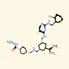 C=C(C)C1C[C@@H](CNC[C@H]2CC[C@@H](C(=O)NC)CC2)C[C@H](CNc2nc(NCc3ccccc3Cl)ncc2F)C1